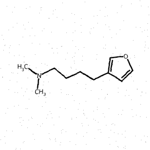 CN(C)CCCCc1ccoc1